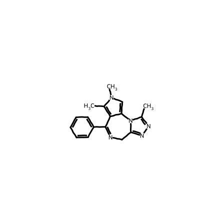 Cc1c2c(cn1C)-n1c(C)nnc1CN=C2c1ccccc1